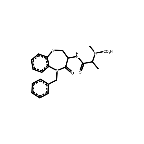 CC(C(=O)NC1CSc2ccccc2N(Cc2ccccc2)C1=O)N(C)C(=O)O